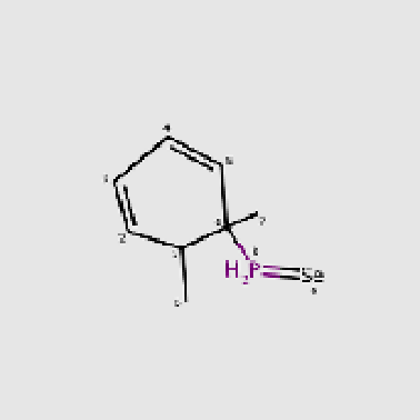 CC1C=CC=CC1(C)[PH2]=[Se]